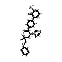 CC1(COc2ccccc2)CC(n2cncn2)C(c2ccc(-c3cccc(Br)c3F)cc2)=NO1